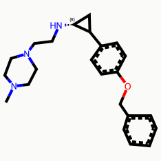 CN1CCN(CCN[C@@H]2CC2c2ccc(OCc3ccccc3)cc2)CC1